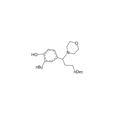 CCCCCCCCCCCCC(c1ccc(O)c(CCCC)c1)N1CCOCC1